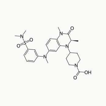 C[C@@H]1C(=O)N(C)c2ccc(N(C)c3cccc(S(=O)(=O)N(C)C)c3)cc2N1C1CCN(C(=O)O)CC1